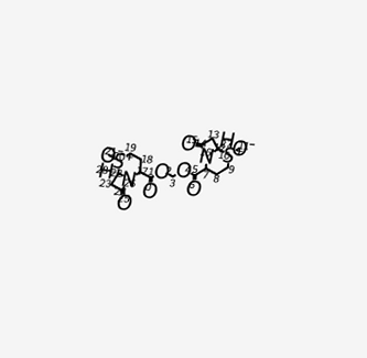 O=C(OCOC(=O)C1CC[S+]([O-])[C@@H]2CC(=O)N12)C1CC[S+]([O-])[C@@H]2CC(=O)N12